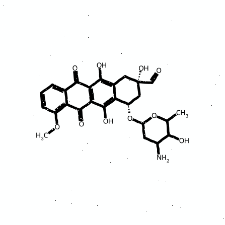 COc1cccc2c1C(=O)c1c(O)c3c(c(O)c1C2=O)C[C@@](O)(C=O)C[C@@H]3OC1CC(N)C(O)C(C)O1